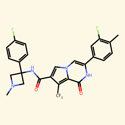 Cc1ccc(-c2cn3cc(C(=O)NC4(c5ccc(F)cc5)CN(C)C4)c(C(F)(F)F)c3c(=O)[nH]2)cc1F